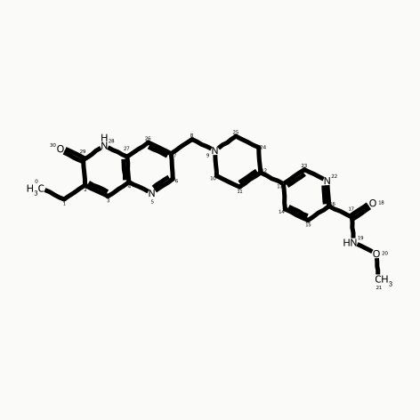 CCc1cc2ncc(CN3CC=C(c4ccc(C(=O)NOC)nc4)CC3)cc2[nH]c1=O